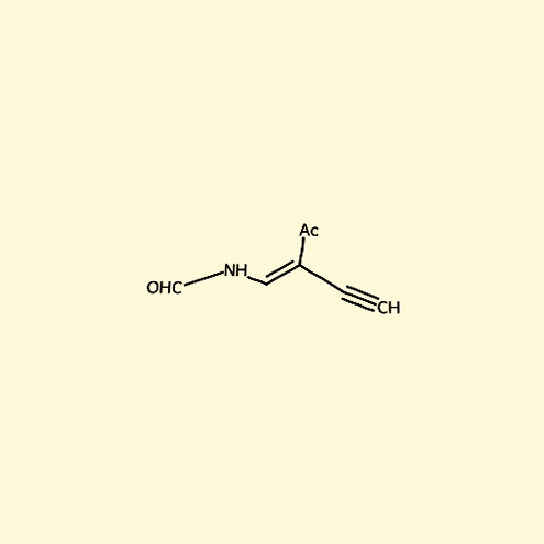 C#C/C(=C/NC=O)C(C)=O